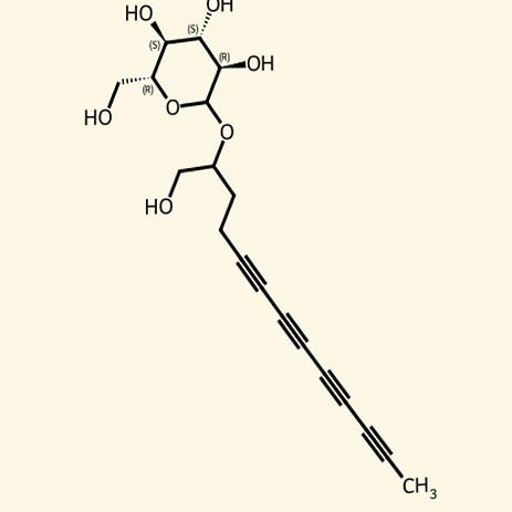 CC#CC#CC#CC#CCCC(CO)OC1O[C@H](CO)[C@@H](O)[C@H](O)[C@H]1O